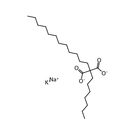 CCCCCCCCCCCCC(CCCCCCC)(C(=O)[O-])C(=O)[O-].[K+].[Na+]